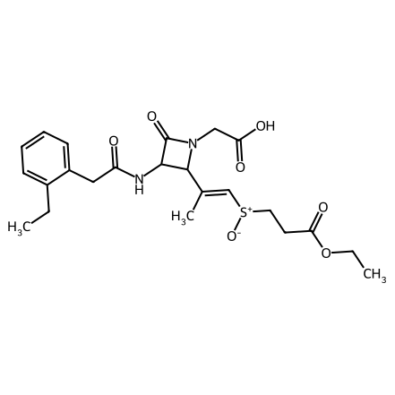 CCOC(=O)CC[S+]([O-])C=C(C)C1C(NC(=O)Cc2ccccc2CC)C(=O)N1CC(=O)O